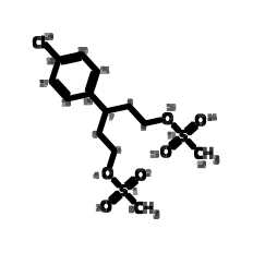 CS(=O)(=O)OCCC(CCOS(C)(=O)=O)c1ccc(Cl)cc1